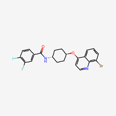 O=C(N[C@H]1CC[C@H](Oc2ccnc3c(Br)cccc23)CC1)c1ccc(F)c(F)c1